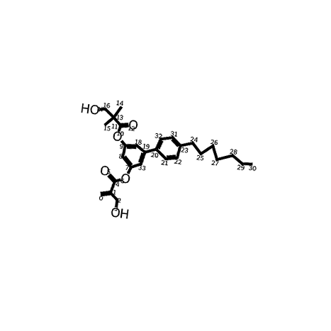 C=C(CO)C(=O)Oc1cc(OC(=O)C(C)(C)CO)cc(-c2ccc(CCCCCCC)cc2)c1